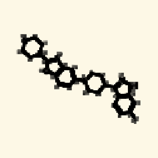 Fc1ccc2c(C3CCN(c4ccc5oc(N6CCOCC6)nc5c4)CC3)n[nH]c2c1